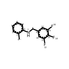 [CH2]c1ccccc1NCc1cc(F)c(F)c(F)c1